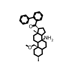 COC[C@]12CC[C@H](C)CC1CC[C@]1(N)C2CC[C@@]2(C)C1CC[C@@H]2C(=O)c1ccccc1-c1ccccc1